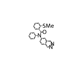 CSc1ccccc1C(=O)N(c1ccccc1)c1ccc2cnncc2c1